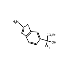 CCOC(=O)C(O)(c1ccc2nc(N)sc2c1)C(F)(F)F